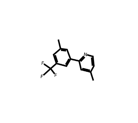 Cc1cc(-c2cc(C)ccn2)cc(C(F)(F)F)c1